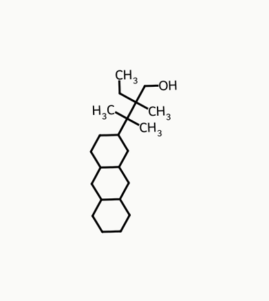 CCC(C)(CO)C(C)(C)C1CCC2CC3CCCCC3CC2C1